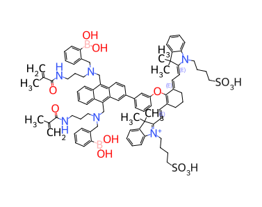 C=C(C)C(=O)NCCCN(Cc1ccccc1B(O)O)Cc1c2ccccc2c(CN(CCCNC(=O)C(=C)C)Cc2ccccc2B(O)O)c2cc(-c3cccc(OC4=C(/C=C/C5=[N+](CCCCS(=O)(=O)O)c6ccccc6C5(C)C)CCC/C4=C\C=C4\N(CCCCS(=O)(=O)O)c5ccccc5C4(C)C)c3)ccc12